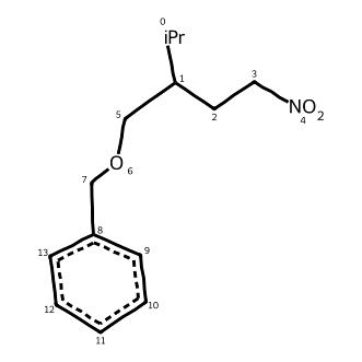 CC(C)C(CC[N+](=O)[O-])COCc1ccccc1